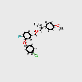 CCOc1ccc([C@@H](COCc2ccc(F)c(Oc3ccc(Cl)cc3)c2)C(F)(F)F)cc1